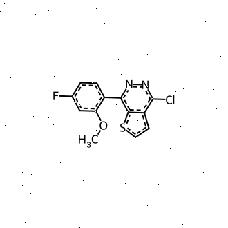 COc1cc(F)ccc1-c1nnc(Cl)c2ccsc12